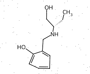 CC[C@@H](CO)NCc1ccccc1O